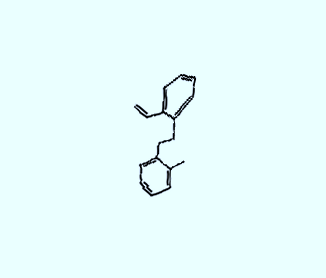 C=Cc1ccccc1CCc1ccccc1C